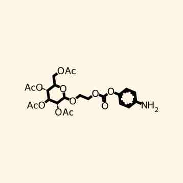 CC(=O)OCC1OC(OCCOC(=O)Oc2ccc(N)cc2)[C@H](OC(C)=O)C(OC(C)=O)[C@@H]1OC(C)=O